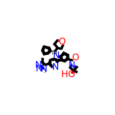 Cc1nnn(C)c1-c1cnc2c3cc(C(=O)N4CC(C)(O)C4)ccc3n([C@H](c3ccccc3)C3CCOCC3)c2c1